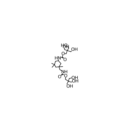 CC1(C)CC(NC(=O)OCC(CO)(CO)CO)CC(C)(CNC(=O)OCC(CO)(CO)CO)C1